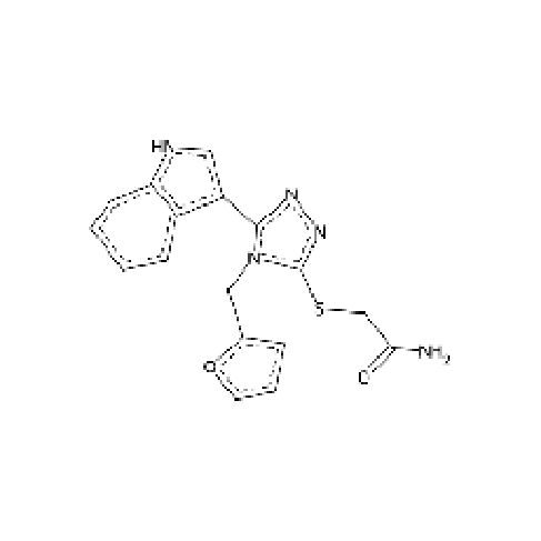 NC(=O)CSc1nnc(-c2c[nH]c3ccccc23)n1Cc1ccco1